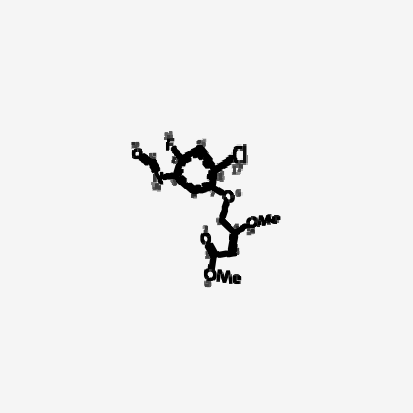 COC(=O)/C=C(\COc1cc(N=C=O)c(F)cc1Cl)OC